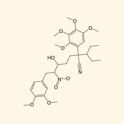 CCC(CC)C(C#N)(CCC(O)C(Cc1ccc(OC)c(OC)c1)[N+](=O)[O-])c1cc(OC)c(OC)c(OC)c1OC